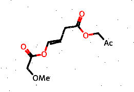 COCC(=O)OC=CCC(=O)OCC(C)=O